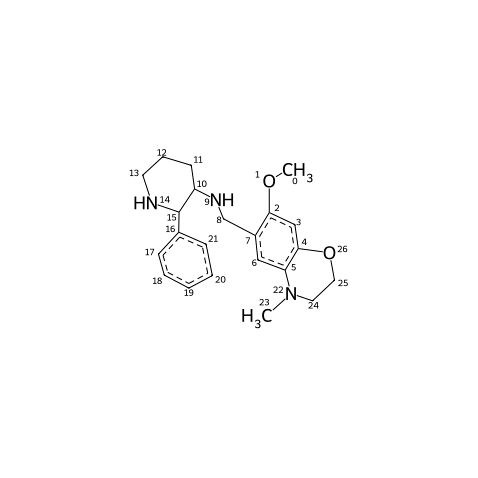 COc1cc2c(cc1CNC1CCCNC1c1ccccc1)N(C)CCO2